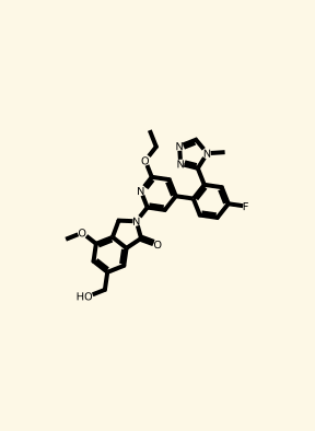 CCOc1cc(-c2ccc(F)cc2-c2nncn2C)cc(N2Cc3c(OC)cc(CO)cc3C2=O)n1